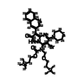 C[Si](C)(C)CCOCN(C(=O)OCC[Si](C)(C)C)c1c(Br)c(N2CCSCC2)nc2c(-c3cnc4ccccc4c3)c(=O)[nH]n12